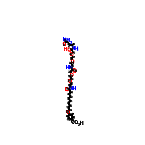 CC(CCC(N)=O)NC(O)COCCOCCNC(=O)COCCOCCNC(=O)CCCCCCCCCOc1ccc(C(=O)O)cc1